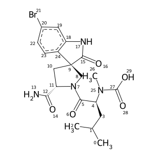 CC(C)C[C@@H](C(=O)N1C[C@]2(C[C@H]1C(N)=O)C(=O)Nc1cc(Br)ccc12)N(C)C(=O)O